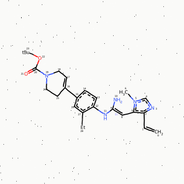 C=Cc1ncn(C)c1/C=C(\N)Nc1ccc(C2=CCN(C(=O)OC(C)(C)C)CC2)cc1CC